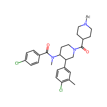 CC(=O)N1CCC(C(=O)N2CCC(N(C)C(=O)c3ccc(Cl)cc3)C(c3ccc(Cl)c(C)c3)C2)CC1